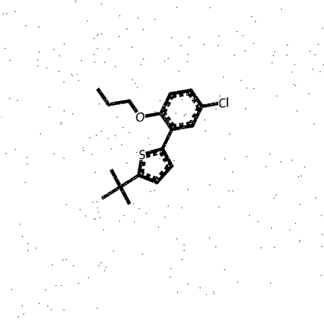 CCCOc1ccc(Cl)cc1-c1ccc(C(C)(C)C)s1